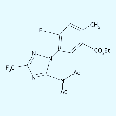 CCOC(=O)c1cc(-n2nc(C(F)(F)F)nc2N(C(C)=O)C(C)=O)c(F)cc1C